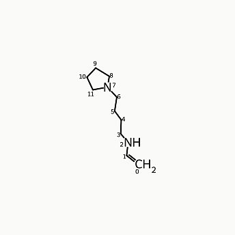 C=CNCCCCN1CCCC1